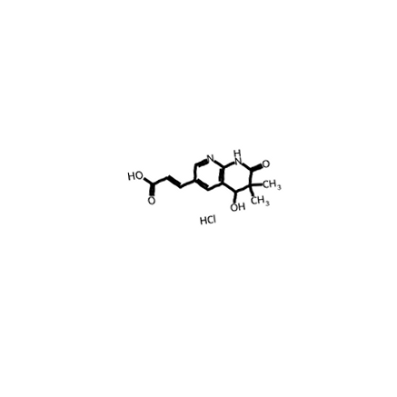 CC1(C)C(=O)Nc2ncc(C=CC(=O)O)cc2C1O.Cl